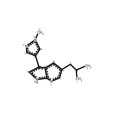 CC(C)Cc1cnc2[nH]cc(-c3cnn(C)c3)c2c1